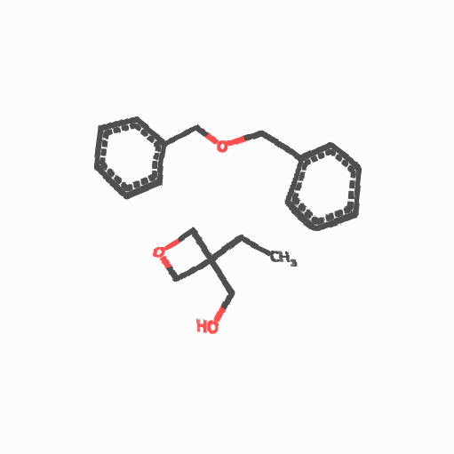 CCC1(CO)COC1.c1ccc(COCc2ccccc2)cc1